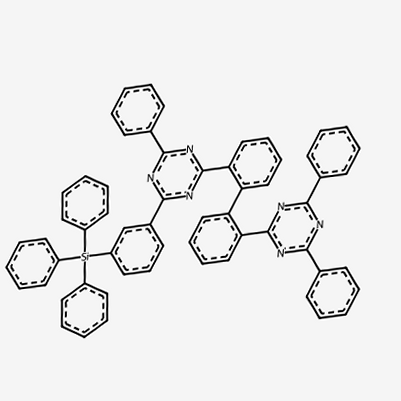 c1ccc(-c2nc(-c3ccccc3)nc(-c3ccccc3-c3ccccc3-c3nc(-c4ccccc4)nc(-c4cccc([Si](c5ccccc5)(c5ccccc5)c5ccccc5)c4)n3)n2)cc1